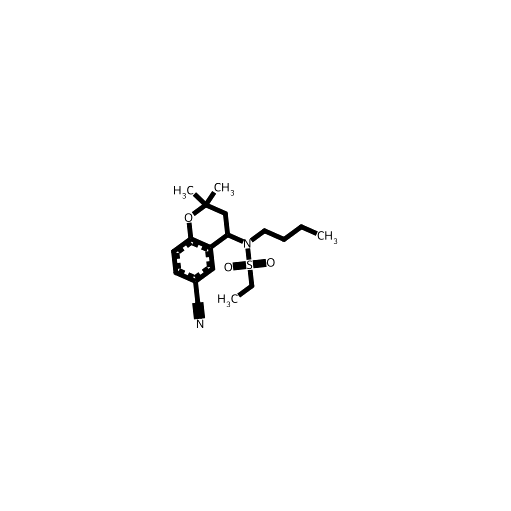 CCCCN(C1CC(C)(C)Oc2ccc(C#N)cc21)S(=O)(=O)CC